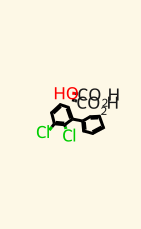 CC(=O)O.Clc1cccc(-c2ccccc2)c1Cl.O=C(O)O